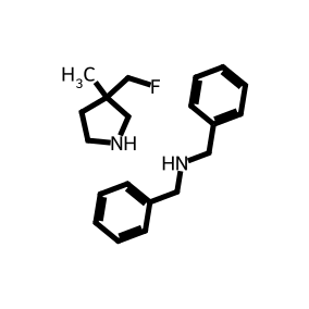 CC1(CF)CCNC1.c1ccc(CNCc2ccccc2)cc1